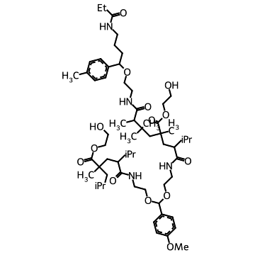 CCC(=O)NCCCC(OCCNC(=O)C(C)C(C)(C)CC(C)(CC(C(=O)NCCOC(OCCNC(=O)C(CC(C)(CC(C)C)C(=O)OCCO)C(C)C)c1ccc(OC)cc1)C(C)C)C(=O)OCCO)c1ccc(C)cc1